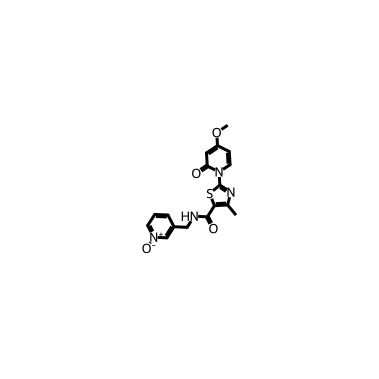 COc1ccn(-c2nc(C)c(C(=O)NCc3ccc[n+]([O-])c3)s2)c(=O)c1